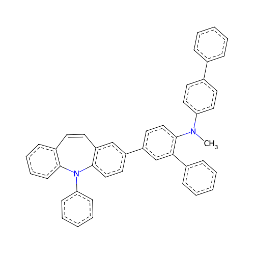 CN(c1ccc(-c2ccccc2)cc1)c1ccc(-c2ccc3c(c2)C=Cc2ccccc2N3c2ccccc2)cc1-c1ccccc1